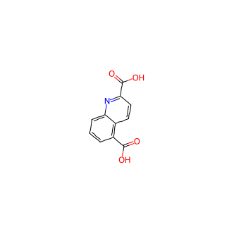 O=C(O)c1ccc2c(C(=O)O)cccc2n1